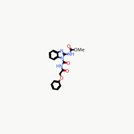 COC(=O)Nc1nc2ccccc2n1C(=O)NC(=O)COc1ccccc1